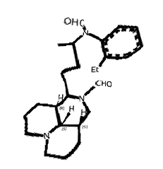 CCc1ccccc1N(C=O)C(C)CCC1[C@H]2CCCN3CCC[C@@H](CN1C=O)[C@@H]23